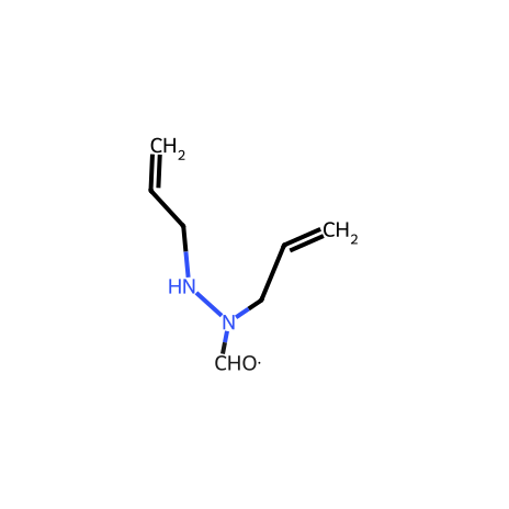 C=CCNN([C]=O)CC=C